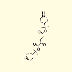 CC(C)(OC(=O)CCC(=O)C(=O)OC(C)(C)C1CCNCC1)C1CCNCC1